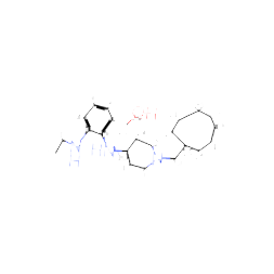 CCNc1ccccc1NC1CCN(CC2CCCCCCC2)C[C@H]1CO